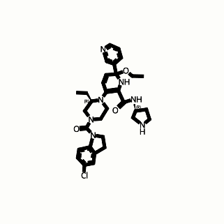 CCOC1(c2cccnc2)C=CC(N2CCN(C(=O)N3CCc4cc(Cl)ccc43)C[C@H]2CC)=C(C(=O)N[C@@H]2CCNC2)N1